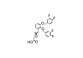 O=C(O)CO/N=C/c1cccc(OCc2ccc(F)c(F)c2)c1OCc1ccc(F)c(F)c1